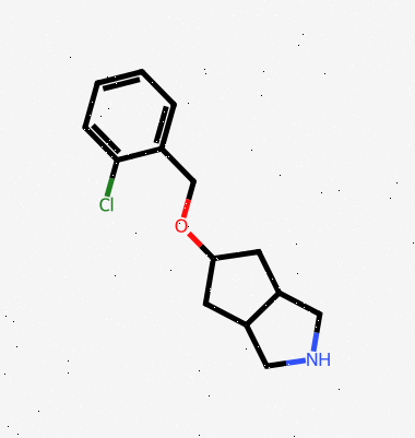 Clc1ccccc1COC1CC2CNCC2C1